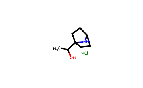 CC(O)C12CCC(CC1)N2.Cl